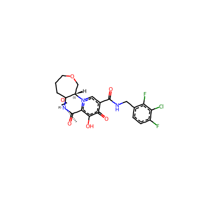 C[C@@H]1COC23CCCOC[C@@H]2n2cc(C(=O)NCc4ccc(F)c(Cl)c4F)c(=O)c(O)c2C(=O)N13